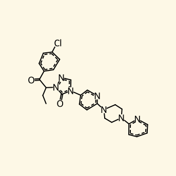 CCC(C(=O)c1ccc(Cl)cc1)n1ncn(-c2ccc(N3CCN(c4ccccn4)CC3)nc2)c1=O